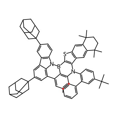 Cc1cc2c3c(c1)N(c1ccc(C(C)(C)C)cc1-c1ccccc1)c1c(sc4cc5c(cc14)C(C)(C)CCC5(C)C)B3n1c3ccc(C45CC6CC(CC(C6)C4)C5)cc3c3cc(C45CC6CC(CC(C6)C4)C5)cc-2c31